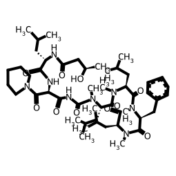 CC(C)C[C@H](NC(=O)C[C@@H](C)O)C(=O)N[C@@H](C(=O)NC(=O)N(C)[C@@H](CC(C)C)C(=O)N(C)[C@@H](CC(C)C)C(=O)N(C)[C@@H](Cc1ccccc1)C(=O)N(C)[C@H](C=O)CC(C)C)C(=O)N1CCCCC1